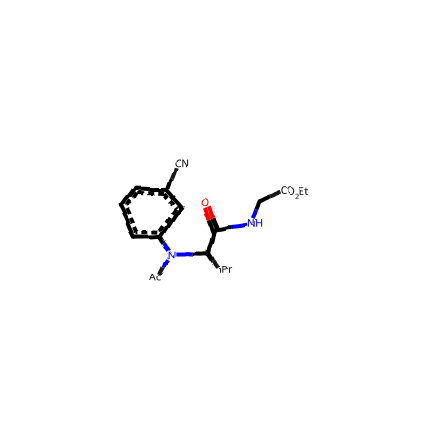 CCOC(=O)CNC(=O)C(C(C)C)N(C(C)=O)c1cccc(C#N)c1